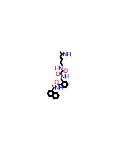 CC(=N)/C=C/CCNC(=O)C(=O)NCc1ccccc1C(=O)N[C@H](C)c1cccc2ccccc12